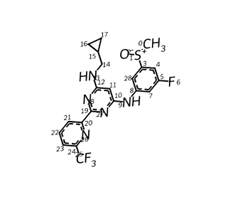 C[S+]([O-])c1cc(F)cc(Nc2cc(NCC3CC3)nc(-c3cccc(C(F)(F)F)n3)n2)c1